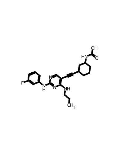 CCCNc1nc(Nc2cccc(F)c2)ncc1C#CC1CCCC(NC(=O)O)C1